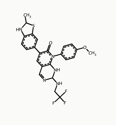 COc1ccc(-n2c3c(cc(-c4ccc5c(c4)SC(C)N5)c2=O)C=NC(NCC(F)(F)F)N3)cc1